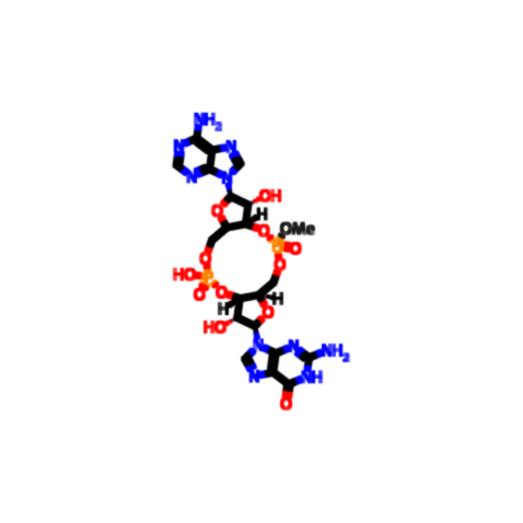 COP1(=O)OC[C@H]2O[C@@H](n3cnc4c(=O)[nH]c(N)nc43)[C@H](O)[C@@H]2OP(=O)(O)OCC2O[C@@H](n3cnc4c(N)ncnc43)[C@H](O)[C@@H]2O1